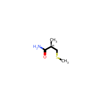 CSC[C@H](C)C(N)=O